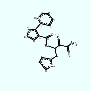 NC(=O)C(=O)C(Cc1ccco1)NC(=O)c1csnc1-c1ccccn1